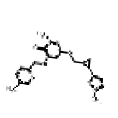 Cc1ccc(CNc2cc(OCC3C[C@H]3c3ccn(C)n3)nn(C)c2=O)nc1